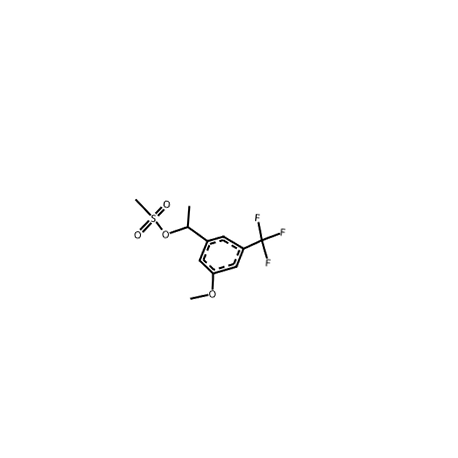 COc1cc(C(C)OS(C)(=O)=O)cc(C(F)(F)F)c1